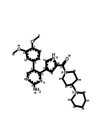 COc1ccc(-c2cnc(N)nc2-c2c[nH]c(C(=O)N3CCC(N4CCCCC4)CC3)c2)cc1OC